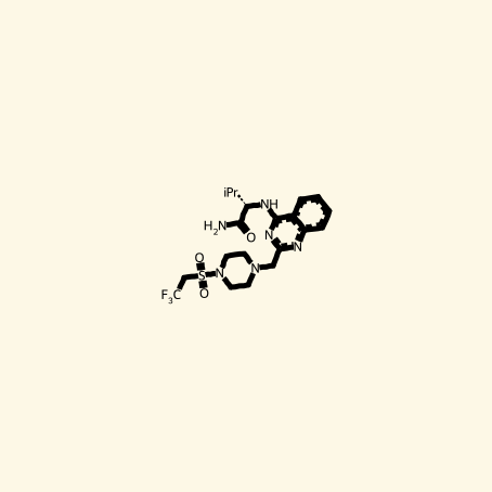 CC(C)[C@H](Nc1nc(CN2CCN(S(=O)(=O)CC(F)(F)F)CC2)nc2ccccc12)C(N)=O